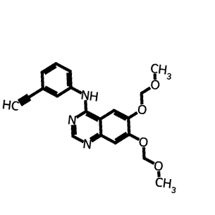 C#Cc1cccc(Nc2ncnc3cc(OCOC)c(OCOC)cc23)c1